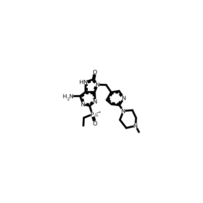 CC[P@](C)(=O)c1nc(N)c2[nH]c(=O)n(Cc3ccc(N4CCN(C)CC4)nc3)c2n1